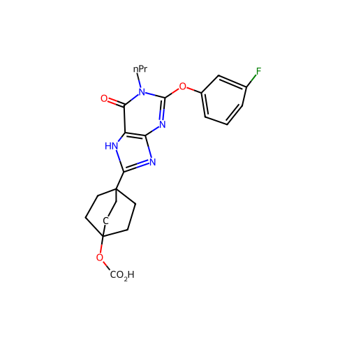 CCCn1c(Oc2cccc(F)c2)nc2nc(C34CCC(OC(=O)O)(CC3)CC4)[nH]c2c1=O